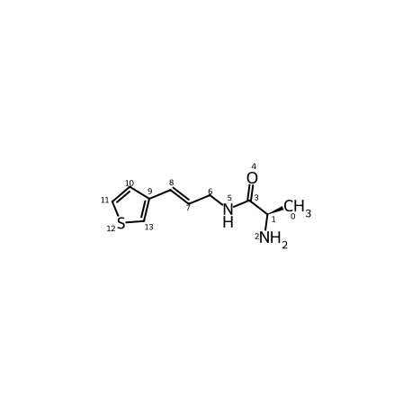 C[C@@H](N)C(=O)NC/C=C/c1ccsc1